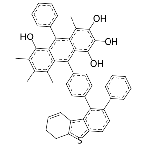 Cc1c(C)c(O)c2c(-c3ccccc3)c3c(C)c(O)c(O)c(O)c3c(-c3ccc(-c4c(-c5ccccc5)ccc5sc6c(c45)C=CCC6)cc3)c2c1C